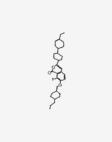 CCCC1CCC(COc2ccc3cc(C4CCC(C5CCC(CC)CC5)CC4)oc(=O)c3c2F)CC1